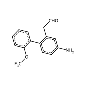 Nc1ccc(-c2ccccc2OC(F)(F)F)c(CC=O)c1